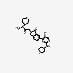 CN(C(=O)CN1Cc2ccc(-c3nc(NC4CCOCC4)ncc3Cl)cc2C1=O)C1CCOCC1